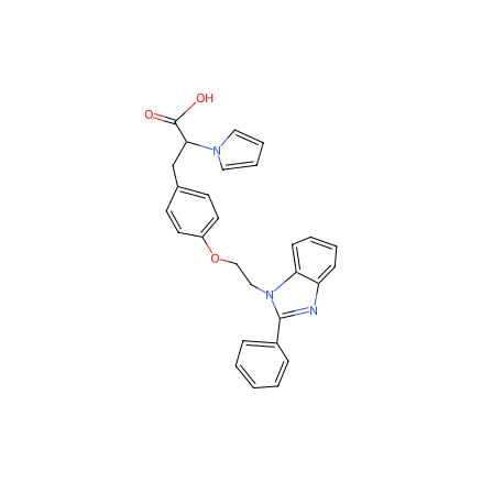 O=C(O)C(Cc1ccc(OCCn2c(-c3ccccc3)nc3ccccc32)cc1)n1cccc1